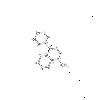 Cc1ccc(-c2cccnc2)c2ccccc12